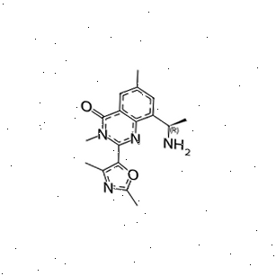 Cc1cc([C@@H](C)N)c2nc(-c3oc(C)nc3C)n(C)c(=O)c2c1